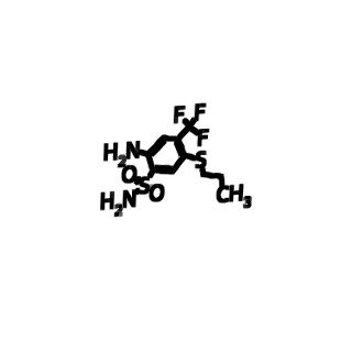 CCCSc1cc(S(N)(=O)=O)c(N)cc1C(F)(F)F